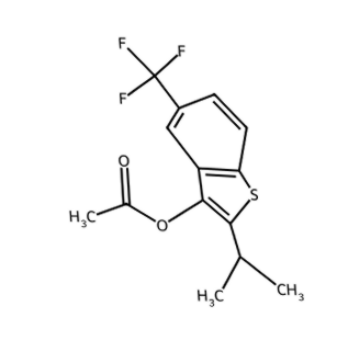 CC(=O)Oc1c(C(C)C)sc2ccc(C(F)(F)F)cc12